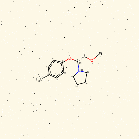 CCOC[C@@H](Oc1ccc(C(F)(F)F)cc1)N1CCCC1